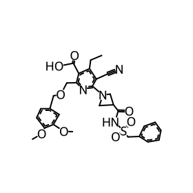 CCc1c(C#N)c(N2CC(C(=O)NS(=O)(=O)Cc3ccccc3)C2)nc(COCc2ccc(OC)c(OC)c2)c1C(=O)O